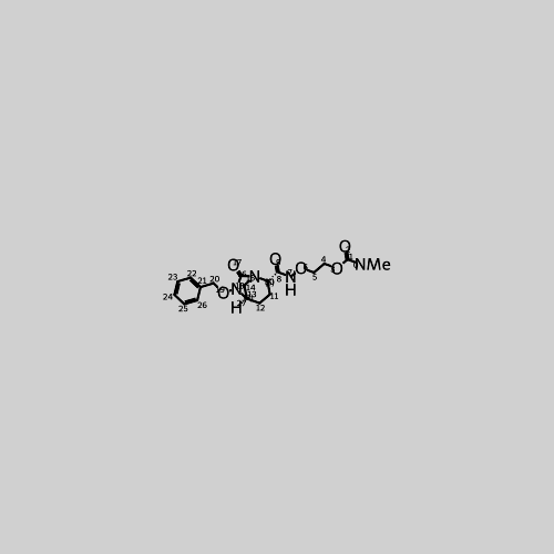 CNC(=O)OCCONC(=O)[C@@H]1CC[C@@H]2CN1C(=O)N2OCc1ccccc1